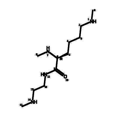 CNCCCC[C@H](NC)C(=O)NCCNC